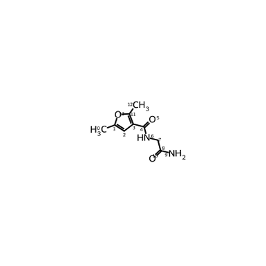 Cc1cc(C(=O)NCC(N)=O)c(C)o1